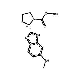 CBc1ccc2nc([C@@H]3CCCN3C(=O)OC(C)(C)C)[nH]c2c1